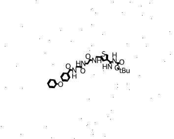 CC(C)(C)OC(=O)NC(=N)c1csc(CNC(=O)CNC(=O)CNC(=O)c2ccc(Oc3ccccc3)cc2)c1